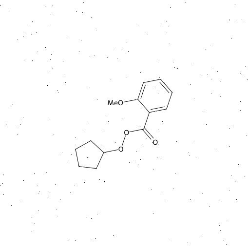 COc1ccccc1C(=O)OO[C]1CCCC1